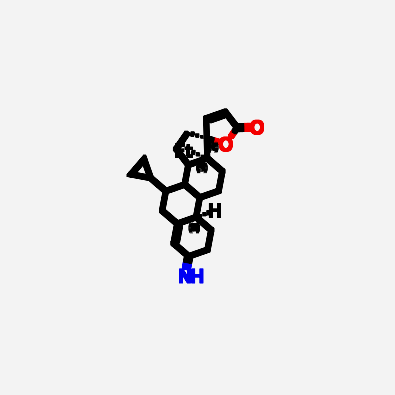 CC[C@]12CCC3C(C(C4CC4)CC4=CC(=N)CC[C@@H]43)C1CC[C@@]21C=CC(=O)O1